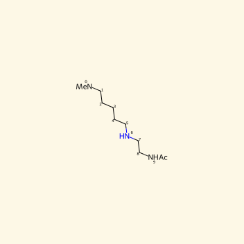 CNCCCCCNCCNC(C)=O